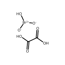 O=C(O)C(=O)O.[O-][Br+2]([O-])O